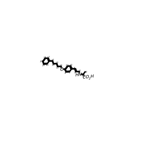 CC(NC/C=C/c1ccc(OCCCCCc2ccccc2)cc1)C(=O)O